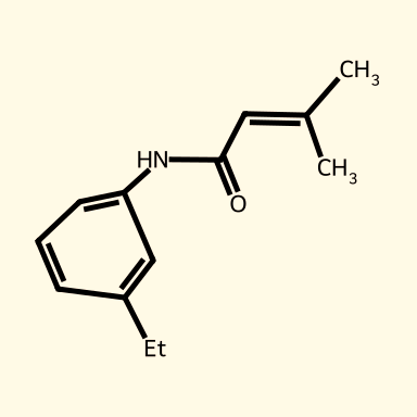 CCc1cccc(NC(=O)C=C(C)C)c1